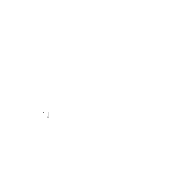 Cc1cc(C)c2sc(C)nc2c1